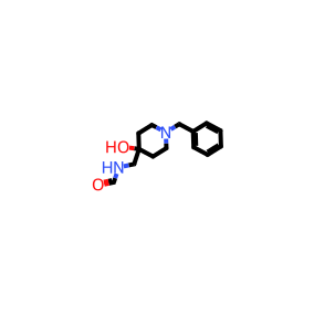 O=CNCC1(O)CCN(Cc2ccccc2)CC1